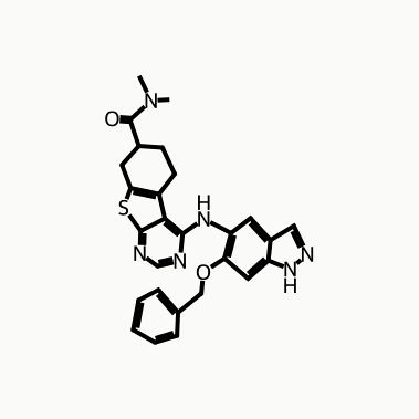 CN(C)C(=O)C1CCc2c(sc3ncnc(Nc4cc5cn[nH]c5cc4OCc4ccccc4)c23)C1